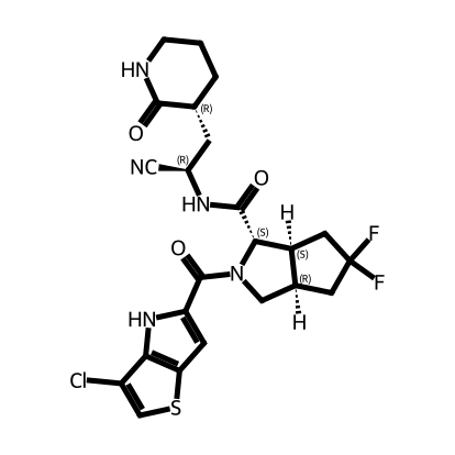 N#C[C@@H](C[C@H]1CCCNC1=O)NC(=O)[C@@H]1[C@H]2CC(F)(F)C[C@H]2CN1C(=O)c1cc2scc(Cl)c2[nH]1